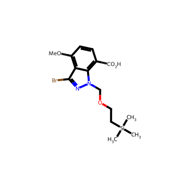 COc1ccc(C(=O)O)c2c1c(Br)nn2COCC[Si](C)(C)C